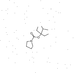 CCC(CC)(OC(=O)N1CCCC1)C(C)C